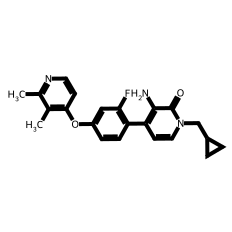 Cc1nccc(Oc2ccc(-c3ccn(CC4CC4)c(=O)c3N)c(F)c2)c1C